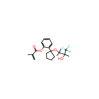 C=C(C)C(=O)Oc1ccccc1C1(OC(C)(C)C(C)(O)C(F)(F)F)CCCC1